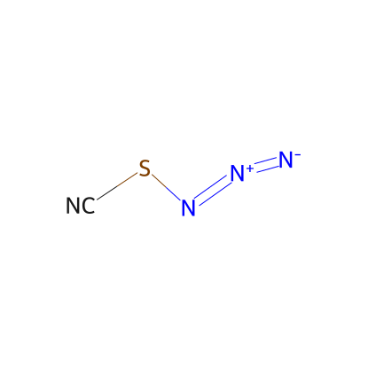 N#CSN=[N+]=[N-]